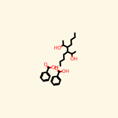 CCCCC(C(C)O)C(CCCC)C(C)O.O=C(O)c1ccccc1.O=C(O)c1ccccc1